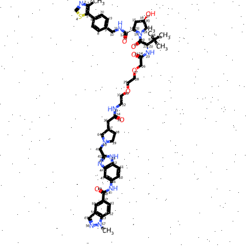 Cc1ncsc1-c1ccc(CNC(=O)[C@@H]2C[C@@H](O)CN2C(=O)[C@@H](NC(=O)COCCOCCNC(=O)CC2CCN(Cc3nc4cc(NC(=O)c5ccc6c(cnn6C)c5)ccc4[nH]3)C2)C(C)(C)C)cc1